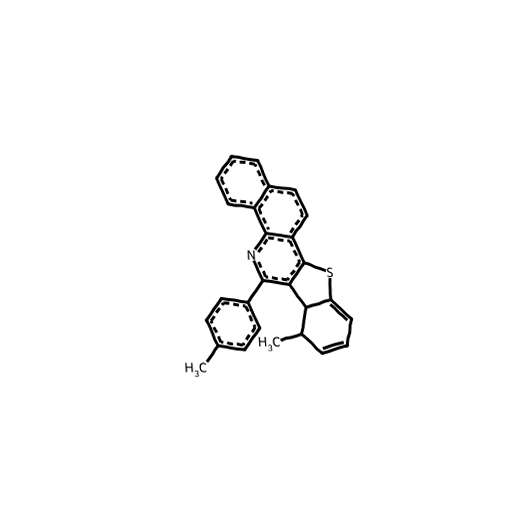 Cc1ccc(-c2nc3c(ccc4ccccc43)c3c2C2C(=CC=CC2C)S3)cc1